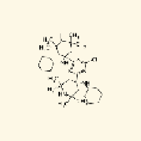 CC1(C)CC(NC2CCCCC2)(c2nc(Cl)nc(C3(NC4CCCCC4)CC(C)(C)NC(C)(C)C3)n2)CC(C)(C)N1